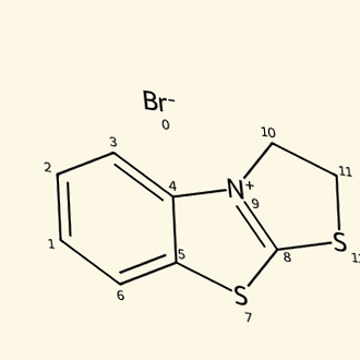 [Br-].c1ccc2c(c1)sc1[n+]2CCS1